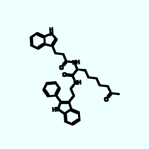 CC(=O)CCCCC[C@H](NC(=O)CCc1c[nH]c2ccccc12)C(=O)NCCc1c(-c2ccccc2)[nH]c2ccccc12